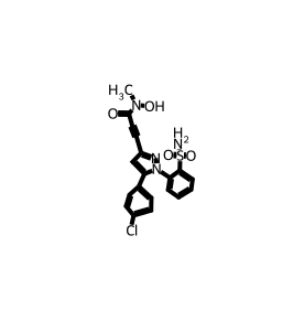 CN(O)C(=O)C#Cc1cc(-c2ccc(Cl)cc2)n(-c2ccccc2S(N)(=O)=O)n1